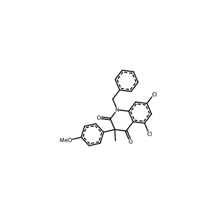 COc1ccc(C2(C)C(=O)c3c(Cl)cc(Cl)cc3N(Cc3ccccc3)C2=O)cc1